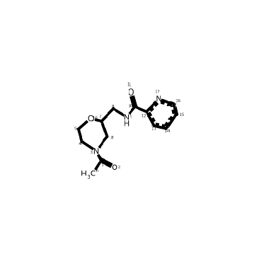 CC(=O)N1CCOC(CNC(=O)c2[c]cccn2)C1